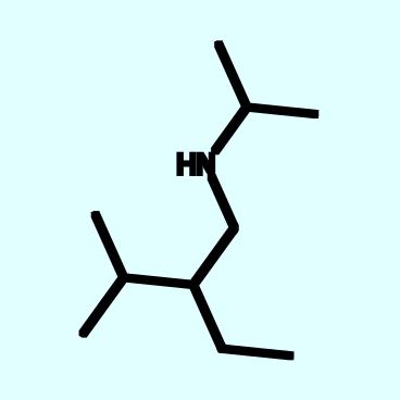 CCC(CNC(C)C)C(C)C